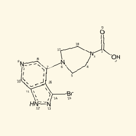 O=C(O)N1CCN(c2cncc3[nH]nc(Br)c23)CC1